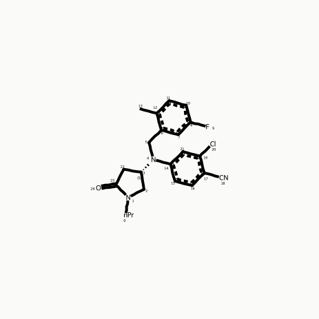 CCCN1C[C@@H](N(Cc2cc(F)ccc2C)c2ccc(C#N)c(Cl)c2)CC1=O